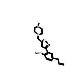 C=CCc1ccc(OC)c(-c2cc(CN3CCN(C)CC3)on2)c1